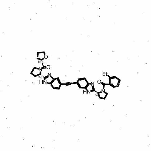 CCc1ccccc1C(=O)N1CCC[C@H]1c1nc2ccc(C#Cc3ccc4[nH]c([C@@H]5CCCN5C(=O)[C@H]5CCCO5)nc4c3)cc2[nH]1